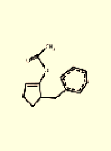 CC(=O)OC1=CCCC1Cc1ccccc1